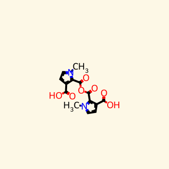 Cn1ccc(C(=O)O)c1C(=O)OC(=O)c1c(C(=O)O)ccn1C